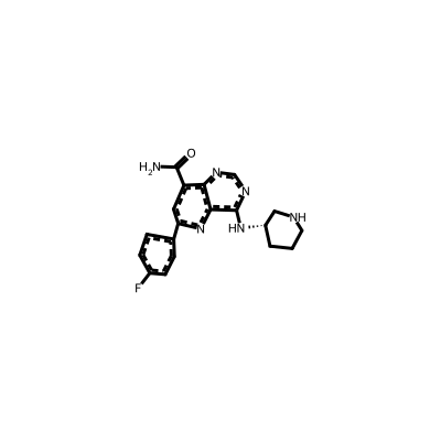 NC(=O)c1cc(-c2ccc(F)cc2)nc2c(N[C@H]3CCCNC3)ncnc12